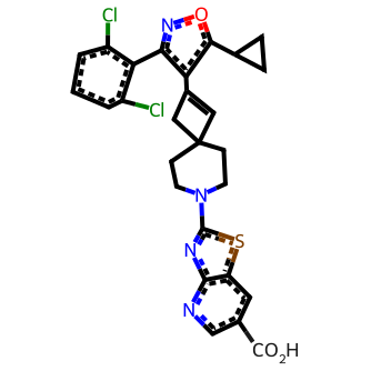 O=C(O)c1cnc2nc(N3CCC4(C=C(c5c(-c6c(Cl)cccc6Cl)noc5C5CC5)C4)CC3)sc2c1